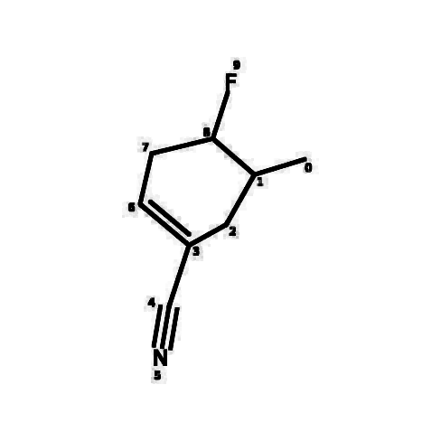 CC1CC(C#N)=CCC1F